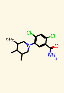 CCCC1CN(c2cc(C(N)=O)c(Cl)cc2Cl)CC(C)C1C